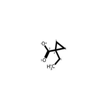 CCC1(C([O])=O)CC1